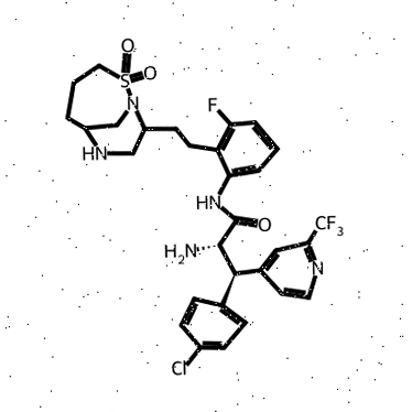 N[C@H](C(=O)Nc1cccc(F)c1CCC1CNC2CCCS(=O)(=O)N1C2)[C@H](c1ccc(Cl)cc1)c1ccnc(C(F)(F)F)c1